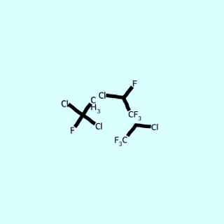 CC(F)(Cl)Cl.FC(Cl)C(F)(F)F.FC(F)(F)CCl